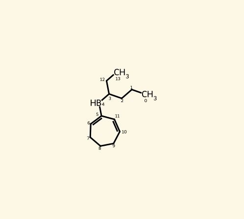 CCCC(BC1=CCCCC=C1)CC